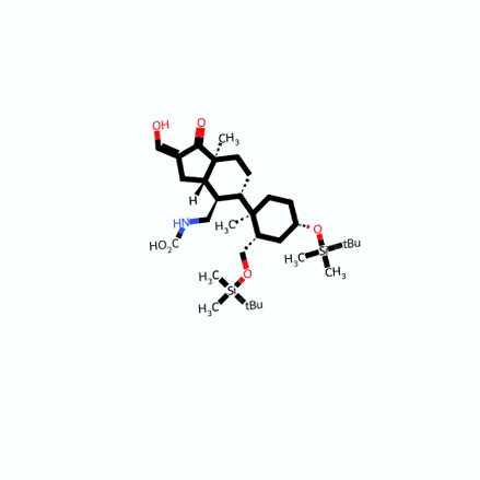 CC(C)(C)[Si](C)(C)OC[C@H]1C[C@@H](O[Si](C)(C)C(C)(C)C)CC[C@]1(C)[C@H]1CC[C@]2(C)C(=O)/C(=C\O)C[C@H]2[C@@H]1CNC(=O)O